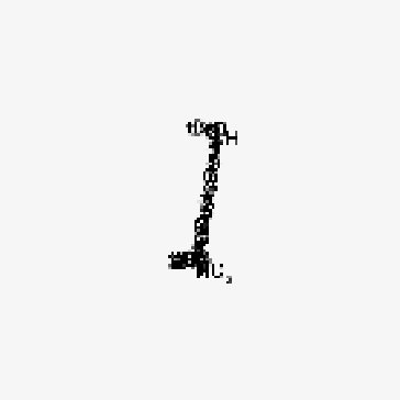 CC(C)(C)OC(=O)NCCOCCOCCOCCOCCOCCOCCOCCOCCOc1ccc([N+](=O)[O-])cc1OCc1ccccc1